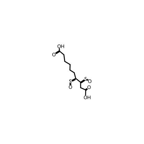 O=S=C(CCCCCC(=O)O)C(CC(=O)O)=S=O